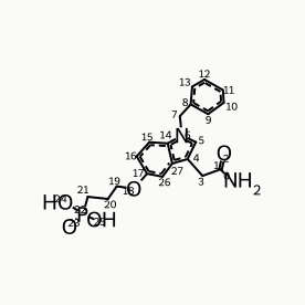 NC(=O)Cc1cn(Cc2ccccc2)c2ccc(OCCCP(=O)(O)O)cc12